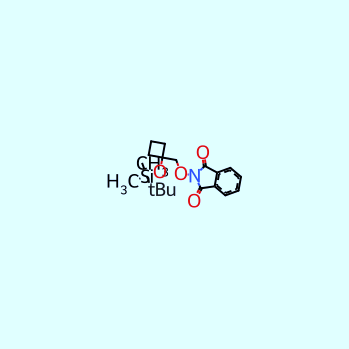 CC(C)(C)[Si](C)(C)OC1(CON2C(=O)c3ccccc3C2=O)CCC1